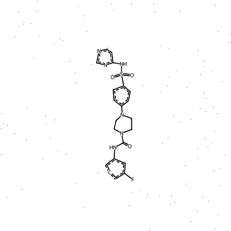 O=C(Nc1cccc(F)c1)N1CCN(c2ccc(S(=O)(=O)Nc3ccncn3)cc2)CC1